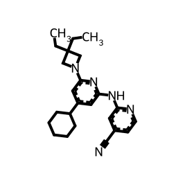 CCC1(CC)CN(c2cc(C3CCCCC3)cc(Nc3cc(C#N)ccn3)n2)C1